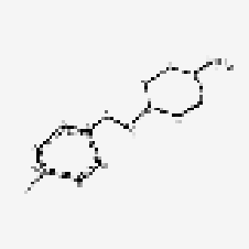 NC1CCC(OCc2ccc(F)cc2)CC1